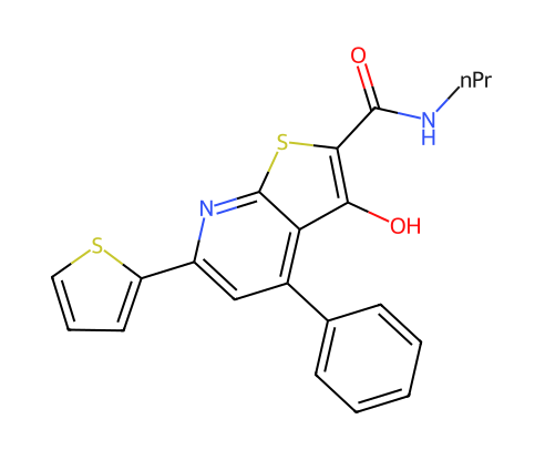 CCCNC(=O)c1sc2nc(-c3cccs3)cc(-c3ccccc3)c2c1O